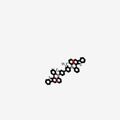 Cc1cc(-c2ccc(N(c3ccccc3)c3ccccc3-c3cccc4c3sc3ccccc34)c(C)c2)ccc1N(c1ccccc1)c1ccccc1-c1cccc2c1sc1ccccc12